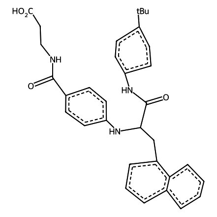 CC(C)(C)c1ccc(NC(=O)C(Cc2cccc3ccccc23)Nc2ccc(C(=O)NCCC(=O)O)cc2)cc1